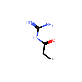 CC(C)CC(=O)NC(=N)N